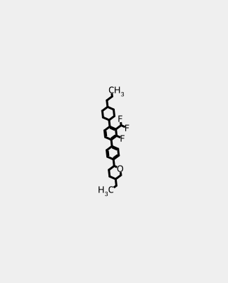 CCCC1CCC(c2ccc(-c3ccc(C4CCC(CC)CO4)cc3)c(F)c2C(F)F)CC1